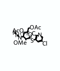 COC1C(N=[N+]=[N-])[C@@H](OC(C)=O)C(COC(C)=O)O[C@@H]1Sc1cc(Cl)cnc1C(F)(F)F